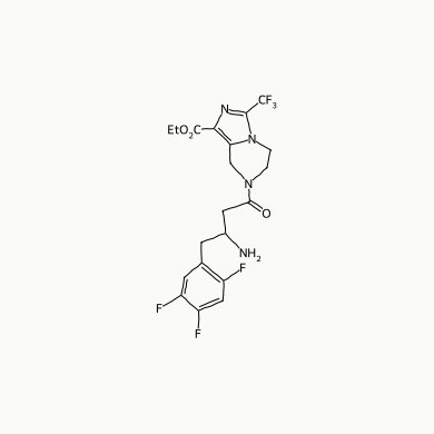 CCOC(=O)c1nc(C(F)(F)F)n2c1CN(C(=O)CC(N)Cc1cc(F)c(F)cc1F)CC2